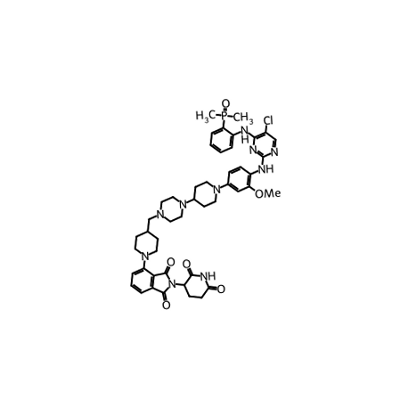 COc1cc(N2CCC(N3CCN(CC4CCN(c5cccc6c5C(=O)N(C5CCC(=O)NC5=O)C6=O)CC4)CC3)CC2)ccc1Nc1ncc(Cl)c(Nc2ccccc2P(C)(C)=O)n1